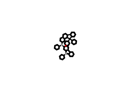 c1ccc(N(c2ccc3ccc4c(c3c2)C(c2ccccc2)(c2ccccc2)c2ccccc2-4)c2ccc3c4ccccc4n(-c4ccccc4)c3c2)cc1